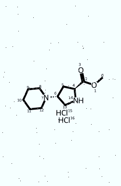 COC(=O)[C@@H]1C[C@@H](N2CCCCC2)CN1.Cl.Cl